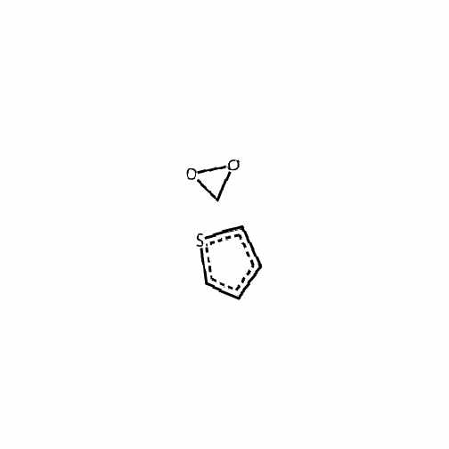 C1OO1.c1ccsc1